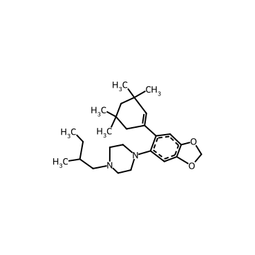 CCC(C)CN1CCN(c2cc3c(cc2C2=CC(C)(C)CC(C)(C)C2)OCO3)CC1